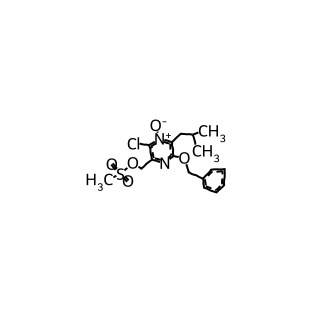 CC(C)Cc1c(OCc2ccccc2)nc(COS(C)(=O)=O)c(Cl)[n+]1[O-]